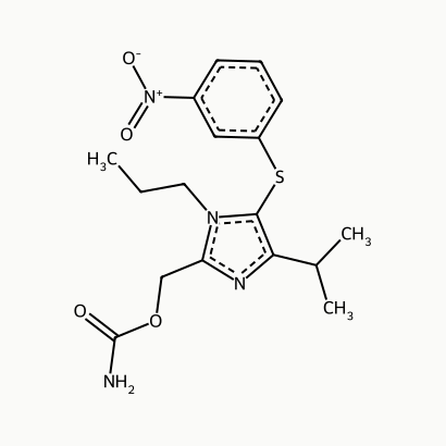 CCCn1c(COC(N)=O)nc(C(C)C)c1Sc1cccc([N+](=O)[O-])c1